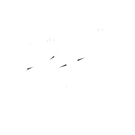 CCCCC1[C@@H]2[C@@H](C#C[C@H](CC3CCCCC3)O[Si](C)(C)C(C)(C)C)[C@H](O)CC[C@@H]2C12OCCO2